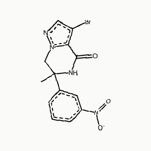 CC1(c2cccc([N+](=O)[O-])c2)Cn2ncc(Br)c2C(=O)N1